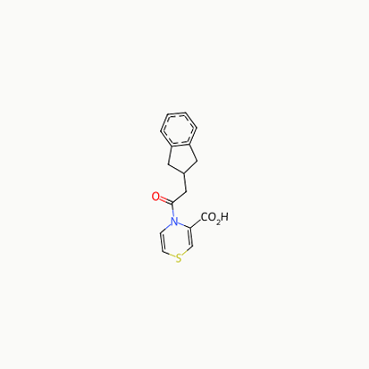 O=C(O)C1=CSC=CN1C(=O)CC1Cc2ccccc2C1